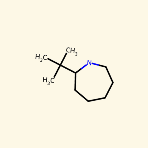 CC(C)(C)C1CCCCC[N]1